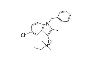 CC[N+](C)(C)Oc1c(C)n(Cc2ccccc2)c2ccc(Cl)cc12